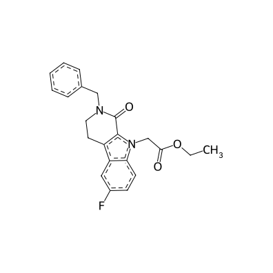 CCOC(=O)Cn1c2c(c3cc(F)ccc31)CCN(Cc1ccccc1)C2=O